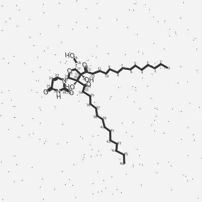 CCCCCCCCCCCCCC(=O)[C@@]1(O)[C@@H](CO)O[C@@H](n2ccc(=O)[nH]c2=O)[C@@]1(O)C(=O)CCCCCCCCCCCCC